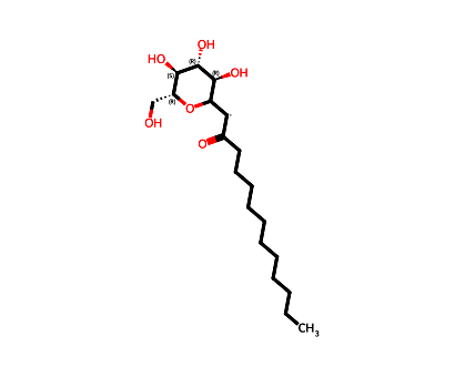 CCCCCCCCCCCC(=O)[CH]C1O[C@H](CO)[C@@H](O)[C@H](O)[C@H]1O